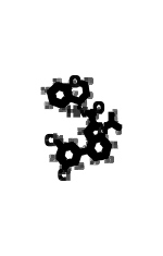 CC(C)n1c(C(=O)N[C@H]2CCOc3ccccc32)cc2c(-c3cc(Cl)cc(Cl)c3)cccc21